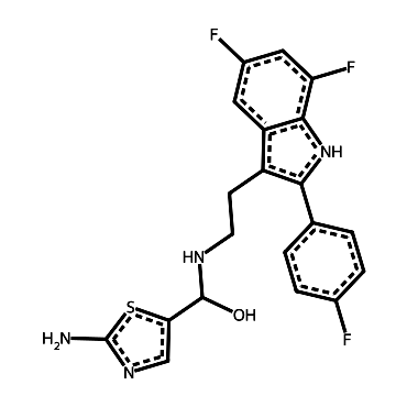 Nc1ncc(C(O)NCCc2c(-c3ccc(F)cc3)[nH]c3c(F)cc(F)cc23)s1